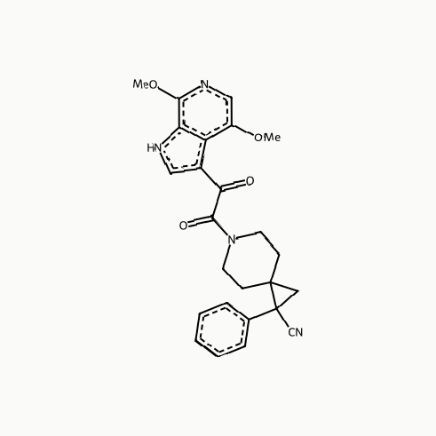 COc1ncc(OC)c2c(C(=O)C(=O)N3CCC4(CC3)CC4(C#N)c3ccccc3)c[nH]c12